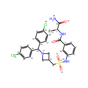 CC[C@H](NC(=O)c1cccc(NS(=O)(=O)CC2CN(C(c3ccc(Cl)cc3)c3ccc(Cl)cc3)C2)c1)C(N)=O